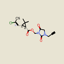 C#CCN1CC(=O)N(COC(=O)[C@@H]2[C@H](/C=C(/Cl)C#N)C2(C)C)C1=O